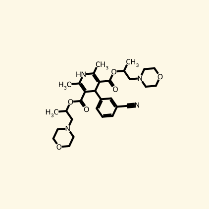 CC1=C(C(=O)OC(C)CN2CCOCC2)C(c2cccc(C#N)c2)C(C(=O)OC(C)CN2CCOCC2)=C(C)N1